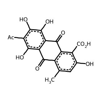 CC(=O)c1c(O)c(O)c2c(c1O)C(=O)c1c(C)cc(O)c(C(=O)O)c1C2=O